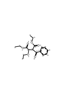 CCOC(=O)C(OCC)C(C(=O)OCC)C(=O)c1ccccc1